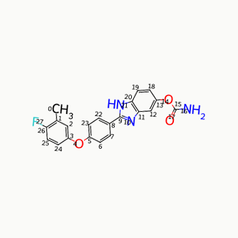 Cc1cc(Oc2ccc(-c3nc4cc(OC(N)=O)ccc4[nH]3)cc2)ccc1F